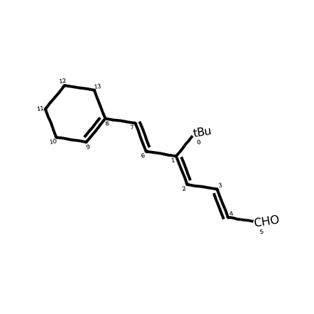 CC(C)(C)C(=C\C=C\C=O)/C=C/C1=CCCCC1